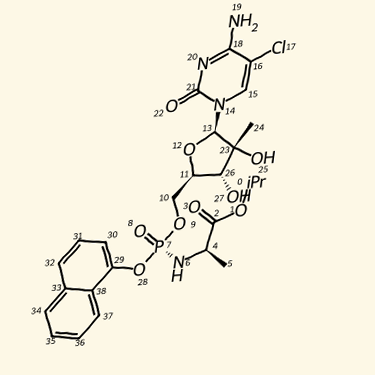 CC(C)OC(=O)[C@@H](C)N[P@](=O)(OC[C@H]1O[C@@H](n2cc(Cl)c(N)nc2=O)[C@](C)(O)[C@@H]1O)Oc1cccc2ccccc12